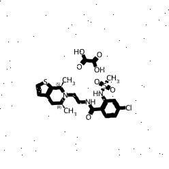 C[C@@H]1Cc2ccsc2[C@H](C)N1CCNC(=O)c1ccc(Cl)cc1NS(C)(=O)=O.O=C(O)C(=O)O